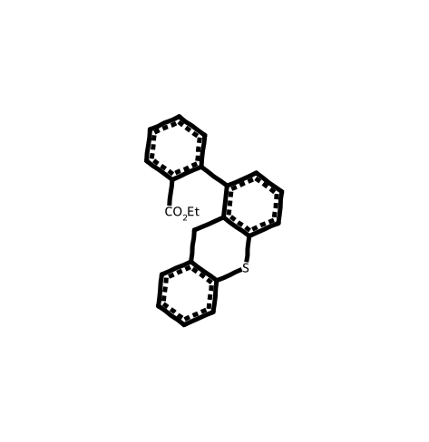 CCOC(=O)c1ccccc1-c1cccc2c1Cc1ccccc1S2